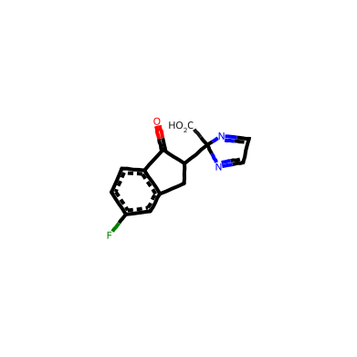 O=C1c2ccc(F)cc2CC1C1(C(=O)O)N=CC=N1